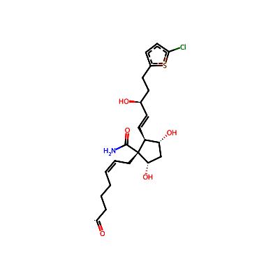 NC(=O)[C@@]1(C/C=C\CCC[C]=O)[C@@H](O)C[C@@H](O)[C@@H]1/C=C/[C@@H](O)CCc1ccc(Cl)s1